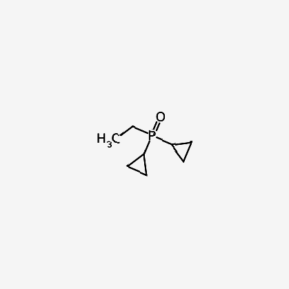 CCP(=O)(C1CC1)C1CC1